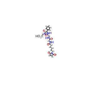 O=C(O)CNC(=O)[C@@H](NC(=O)CNC(=O)CNC(=O)CCCCCN1C(=O)C=CC1=O)c1ccccc1